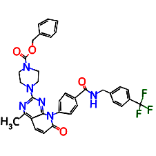 Cc1nc(N2CCN(C(=O)OCc3ccccc3)CC2)nc2c1ccc(=O)n2-c1ccc(C(=O)NCc2ccc(C(F)(F)F)cc2)cc1